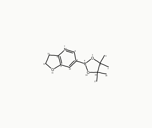 CC1(C)OB(c2cnc3c(c2)OCC3)OC1(C)C